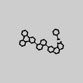 c1ccc(-c2nc3ccc4ccc5ccc(-c6cccc7c(-c8ccc9c%10ccccc%10c%10ccccc%10c9c8)cccc67)cc5c4c3s2)cc1